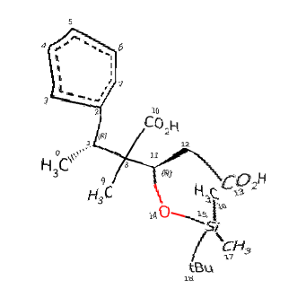 C[C@H](c1ccccc1)C(C)(C(=O)O)[C@@H](CC(=O)O)O[Si](C)(C)C(C)(C)C